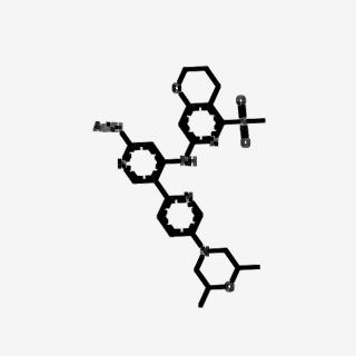 CC(=O)Nc1cc(Nc2cc3c(c(S(C)(=O)=O)n2)CCCO3)c(-c2ccc(N3CC(C)OC(C)C3)cn2)cn1